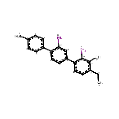 Bc1ccc(-c2ccc(-c3ccc(CC)c(C)c3P)cc2P)cc1